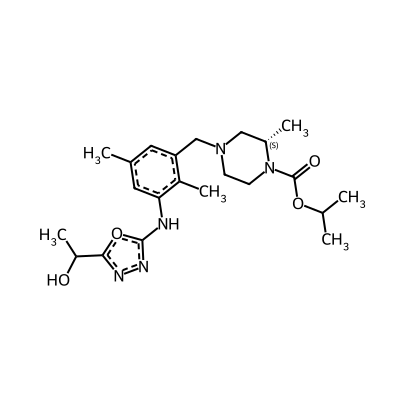 Cc1cc(CN2CCN(C(=O)OC(C)C)[C@@H](C)C2)c(C)c(Nc2nnc(C(C)O)o2)c1